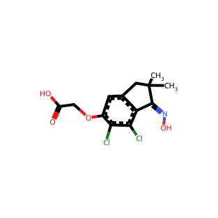 CC1(C)Cc2cc(OCC(=O)O)c(Cl)c(Cl)c2/C1=N\O